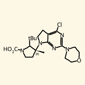 CC(C)(C)C1N(C(=O)O)CC[C@@]1(C)N1CCc2c(Cl)nc(N3CCOCC3)nc21